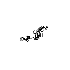 CC(C)(C)OC(=O)N1C[C@@H](CCCNc2cccc(S(=O)(=O)NC(=O)c3ccc(N4CCC(OCCC5CCC56CC6)C4=O)nc3Cl)n2)CC1(C)C